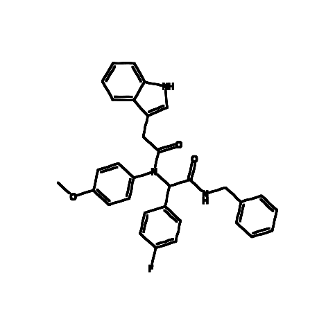 COc1ccc(N(C(=O)Cc2c[nH]c3ccccc23)C(C(=O)NCc2ccccc2)c2ccc(F)cc2)cc1